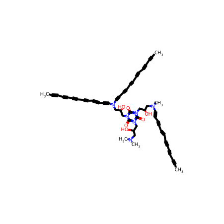 CC#CC#CC#CC#CC#CC#CN(C)CC(O)Cn1c(=O)n(CC(O)CN(C)C)c(=O)n(CC(O)CN(C#CC#CC#CC#CC#CC#CC)C#CC#CC#CC#CC#CC#CC)c1=O